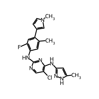 Cc1cc(Nc2nc(Nc3cc(C)c(-c4ccn(C)c4)cc3F)ncc2Cl)n[nH]1